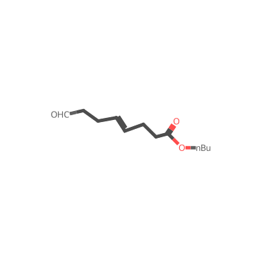 CCCCOC(=O)CCC=CCCC=O